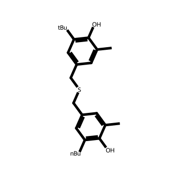 CCCCc1cc(CSCc2cc(C)c(O)c(C(C)(C)C)c2)cc(C)c1O